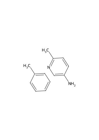 Cc1ccc(N)cn1.Cc1ccccc1